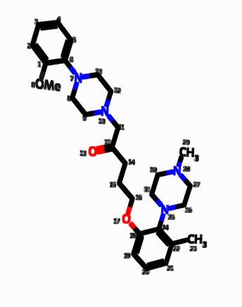 COc1ccccc1N1CCN(CC(=O)CCCOc2cccc(C)c2N2CCN(C)CC2)CC1